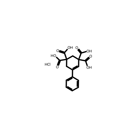 Cl.O=C(O)C1(C(=O)O)C=C(c2ccccc2)CC(C(=O)O)(C(=O)O)C1